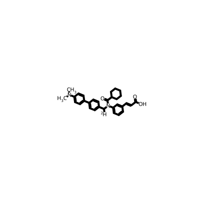 [2H]C(c1ccc(-c2ccc(N(C)C)cc2)cc1)N(C(=O)C1CCCCC1)c1cccc(/C=C/C(=O)O)c1